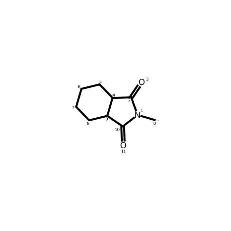 [CH2]N1C(=O)C2CCCCC2C1=O